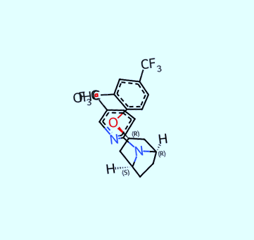 O=Cc1cc(C(F)(F)F)ccc1O[C@H]1C[C@H]2CC[C@@H](C1)N2c1ccc(C(F)(F)F)cn1